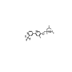 Cc1cc(-c2ccnc(C(F)(F)F)c2)ncc1OCC(C)(N)CC(C)C